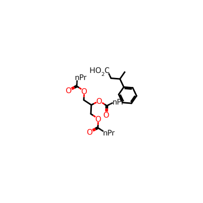 CC(CC(=O)O)c1ccccc1.CCCC(=O)OCC(COC(=O)CCC)OC(=O)CCC